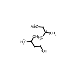 CC(O)CCO.COCC(C)O